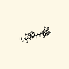 NC(=O)CC[C@H](NC(=O)CCCC[C@@H]1SC[C@@H]2NC(=O)N[C@@H]21)C(=O)O